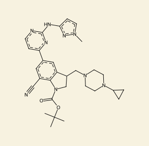 Cn1ccc(Nc2nccc(-c3cc(C#N)c4c(c3)C(CN3CCN(C5CC5)CC3)CN4C(=O)OC(C)(C)C)n2)n1